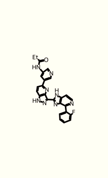 CCC(=O)Nc1cncc(-c2ccc3[nH]nc(-c4nc5c(-c6ccccc6F)nccc5[nH]4)c3n2)c1